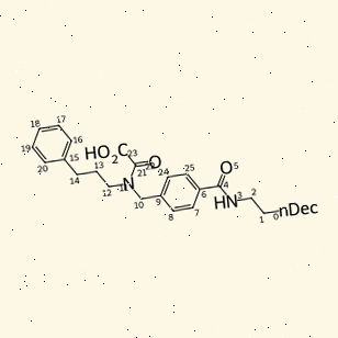 CCCCCCCCCCCCNC(=O)c1ccc(CN(CCCc2ccccc2)C(=O)C(=O)O)cc1